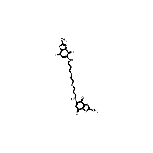 Cc1nc2c(s1)C(=O)C=C(NCCCOCCOCCCNC1=CC(=O)c3sc(C)nc3C1=O)C2=O